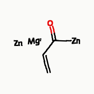 C=C[C](=O)[Zn].[Mg].[Zn]